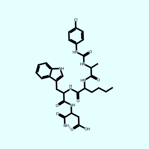 CCCCC(NC(=O)C(C)NC(=O)Nc1ccc(Cl)cc1)C(=O)NC(Cc1c[nH]c2ccccc12)C(=O)NC(CC(=O)O)C(N)=O